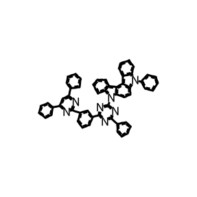 c1ccc(-c2cc(-c3ccccc3)nc(-c3cccc(-c4nc(-c5ccccc5)nc(-n5c6ccccc6c6c7c8ccccc8n(-c8ccccc8)c7ccc65)n4)c3)n2)cc1